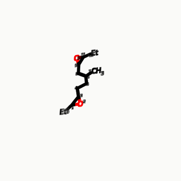 CCC1OC1CCC(C)CC1OC1CC